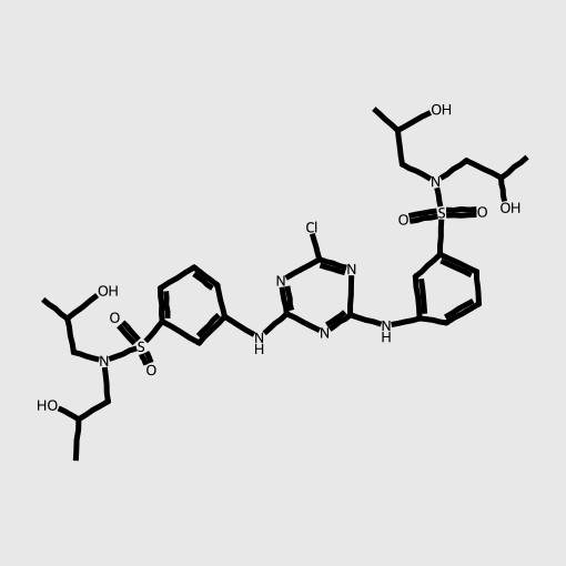 CC(O)CN(CC(C)O)S(=O)(=O)c1cccc(Nc2nc(Cl)nc(Nc3cccc(S(=O)(=O)N(CC(C)O)CC(C)O)c3)n2)c1